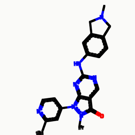 CC(C)n1c(=O)c2cnc(Nc3ccc4c(c3)CN(C)C4)nc2n1-c1ccnc(C(C)(C)C)c1